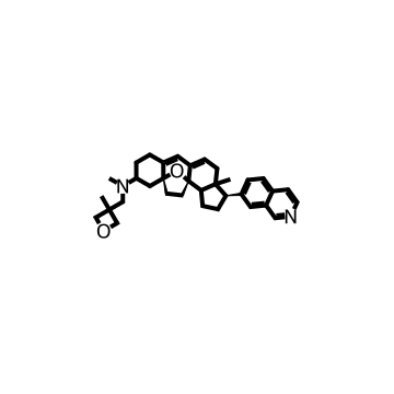 CN(CC1(C)COC1)C1CCC2=CC3=CCC4(C)C(CC[C@@H]4c4ccc5ccncc5c4)[C@@]34CC[C@]2(C1)O4